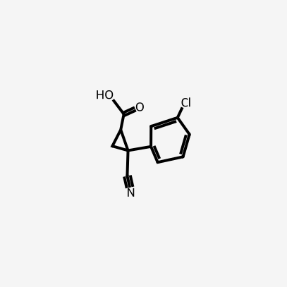 N#CC1(c2cccc(Cl)c2)CC1C(=O)O